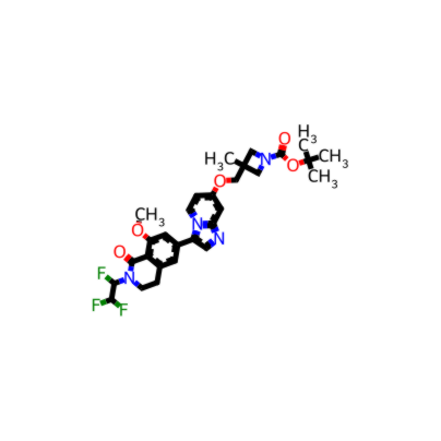 COc1cc(-c2cnc3cc(OCC4(C)CN(C(=O)OC(C)(C)C)C4)ccn23)cc2c1C(=O)N(C(F)C(F)F)CC2